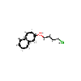 BrCCCCOc1ccc2ccccc2c1